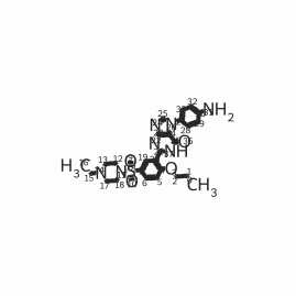 CCCOc1ccc(S(=O)(=O)N2CCN(CC)CC2)cc1-c1nc2ncn(-c3ccc(N)cc3)c2c(=O)[nH]1